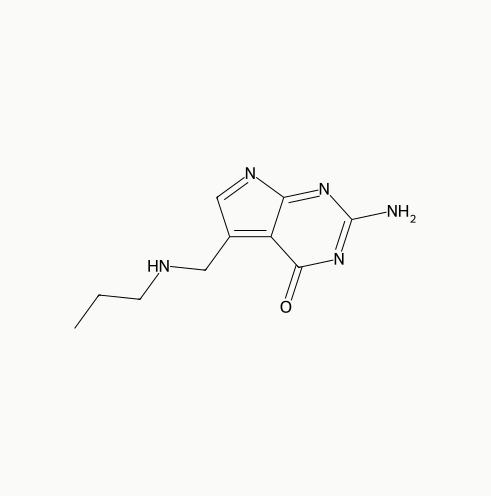 CCCNCC1=C2C(=O)N=C(N)N=C2N=C1